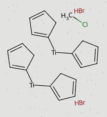 Br.Br.C1=CC[C]([Ti][C]2=CC=CC2)=C1.C1=CC[C]([Ti][C]2=CC=CC2)=C1.CCl